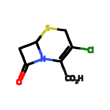 O=C(O)C1=C(Cl)CSC2CC(=O)N12